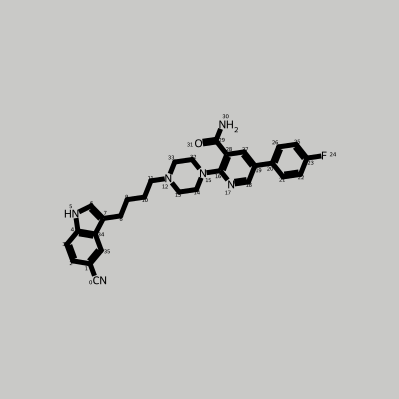 N#Cc1ccc2[nH]cc(CCCCN3CCN(c4ncc(-c5ccc(F)cc5)cc4C(N)=O)CC3)c2c1